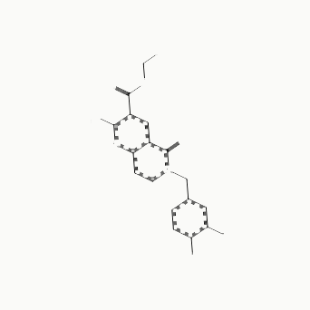 CCOC(=O)c1cc2c(=O)n(Cc3ccc(F)c(F)c3)ccc2nc1C